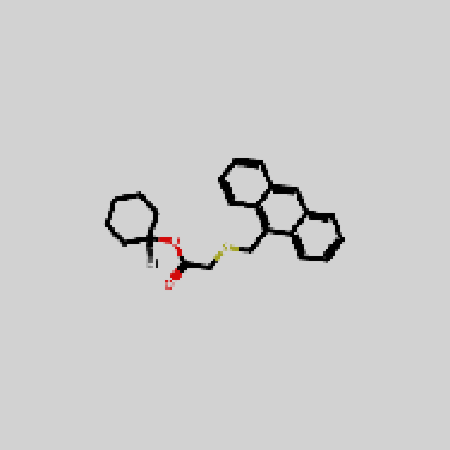 CCC1(OC(=O)CSCc2c3ccccc3cc3ccccc23)CCCCC1